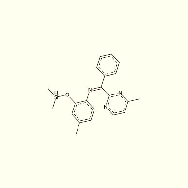 Cc1ccc(N=C(c2ccccc2)c2nccc(C)n2)c(O[SiH](C)C)c1